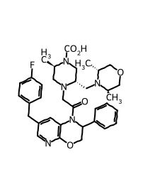 C[C@@H]1CN(CC(=O)N2c3cc(Cc4ccc(F)cc4)cnc3OCC2c2ccccc2)[C@@H](CN2[C@H](C)COC[C@H]2C)CN1C(=O)O